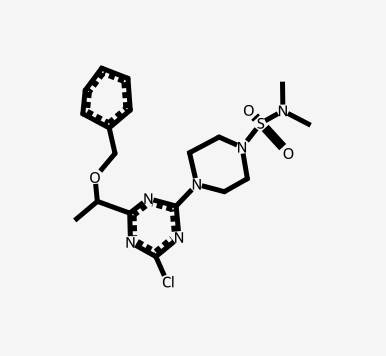 CC(OCc1ccccc1)c1nc(Cl)nc(N2CCN(S(=O)(=O)N(C)C)CC2)n1